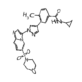 Cc1ccc(C(=O)NC2CC2)cc1-c1cnn(-c2cnc3ccc(S(=O)(=O)N4CCOCC4)cn23)c1